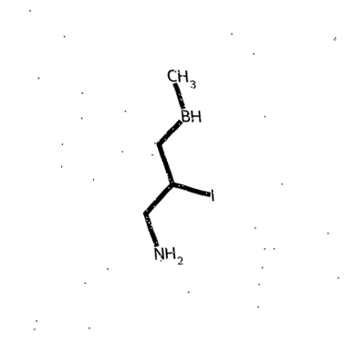 CBCC(I)CN